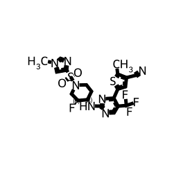 Cc1sc(-c2nc(N[C@@H]3CCN(S(=O)(=O)c4cn(C)cn4)C[C@H]3F)ncc2C(F)(F)F)cc1C#N